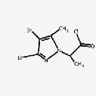 Cc1c(Br)c(Br)nn1C(C)C(=O)Cl